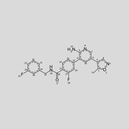 Cc1oncc1-c1cnc(N)c(-c2ccc(C(=O)NCc3cccc(F)c3)c(F)c2)c1